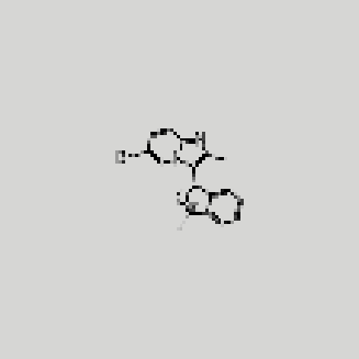 Cc1nc2ccc(Br)cn2c1C1O[C@@H](C)c2ccccc21